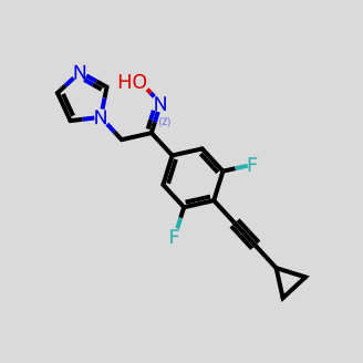 O/N=C(\Cn1ccnc1)c1cc(F)c(C#CC2CC2)c(F)c1